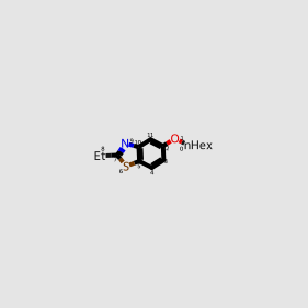 [CH2]CCCCCOc1ccc2sc(CC)nc2c1